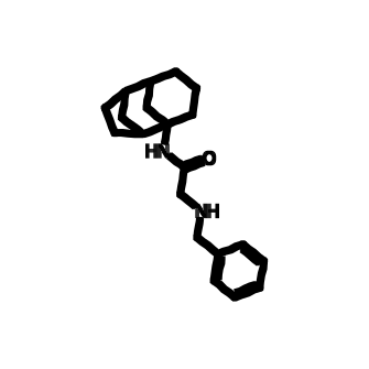 O=C(CNCc1ccccc1)NC12CCCC(C1)C1CCC2C1